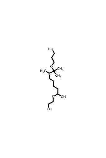 CB(CCCCC(O)OCCO)C(C)(C)OCCCO